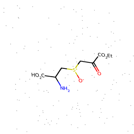 CCOC(=O)C(=O)C[S+]([O-])CC(N)C(=O)O